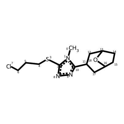 Cn1c(SCCCCl)nnc1C1CC2CCC(C1)O2